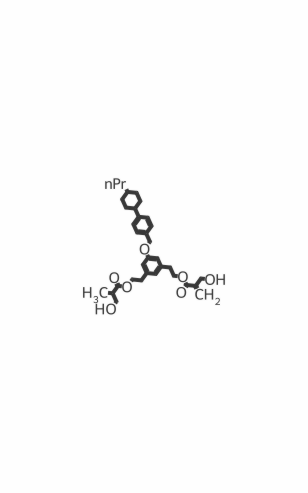 C=C(CO)C(=O)OCCc1cc(CCOC(=O)C(C)CO)cc(OCc2ccc(C3CCC(CCC)CC3)cc2)c1